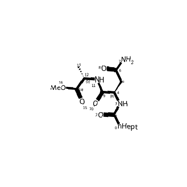 CCCCCCCC(=O)N[C@H](CC(N)=O)C(=O)N[C@@H](C)C(=O)OC